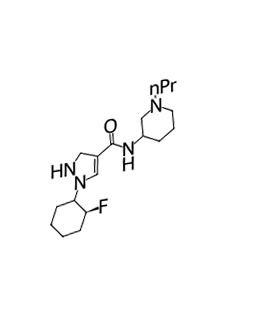 CCCN1CCCC(NC(=O)C2=CN(C3CCCC[C@@H]3F)NC2)C1